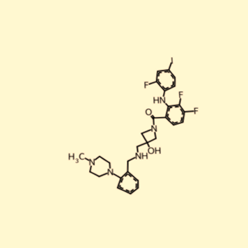 CN1CCN(c2ccccc2CNCC2(O)CN(C(=O)c3ccc(F)c(F)c3Nc3ccc(I)cc3F)C2)CC1